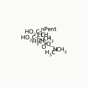 C=C(C)C(=O)OCCN(C)C.C=C(CC)C(=O)O.C=C(CCCCC)C(=O)O